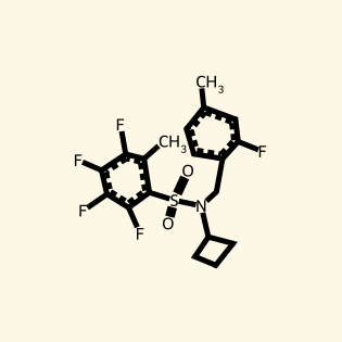 Cc1ccc(CN(C2CCC2)S(=O)(=O)c2c(C)c(F)c(F)c(F)c2F)c(F)c1